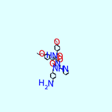 CCOc1ccc(C[C@@H](NC(=O)c2ccc(OC)cc2)C(=O)N(CCc2ccccn2)C(=O)NCc2ccc(CN)cc2)cc1